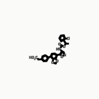 CC(OC(=O)Nc1cnoc1-c1ccc(-c2ccc(CC(=O)O)cc2)c2c1OCO2)c1ccccc1Cl